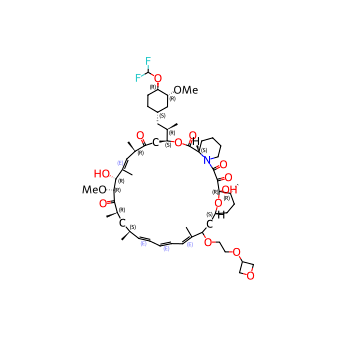 CO[C@@H]1C[C@H](C[C@@H](C)[C@@H]2CC(=O)[C@H](C)/C=C(\C)[C@@H](O)[C@@H](OC)C(=O)[C@H](C)C[C@H](C)/C=C/C=C/C=C(\C)C(OCCOC3COC3)C[C@@H]3CC[C@@H](C)[C@@](O)(O3)C(=O)C(=O)N3CCCC[C@H]3C(=O)O2)CC[C@H]1OC(F)F